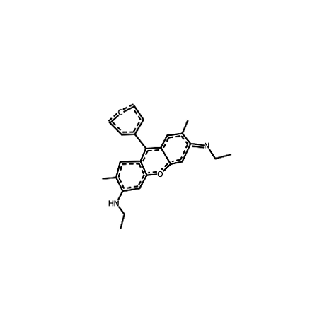 CC/N=c1\cc2oc3cc(NCC)c(C)cc3c(-c3ccccc3)c-2cc1C